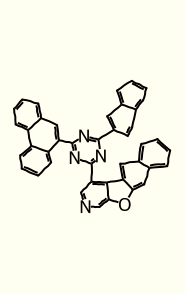 c1ccc2cc(-c3nc(-c4cc5ccccc5c5ccccc45)nc(-c4cncc5oc6cc7ccccc7cc6c45)n3)ccc2c1